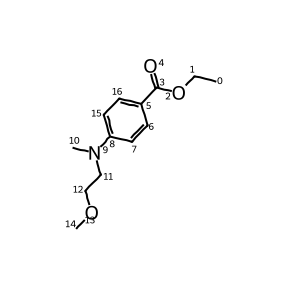 CCOC(=O)c1ccc(N(C)CCOC)cc1